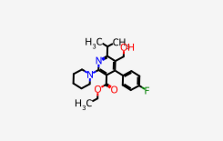 CCOC(=O)c1c(N2CCCCC2)nc(C(C)C)c(CO)c1-c1ccc(F)cc1